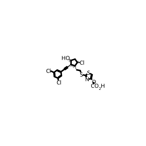 O=C(O)Oc1csc(SCC[C@@H]2[C@@H](C#Cc3cc(Cl)cc(Cl)c3)[C@H](O)C[C@H]2Cl)n1